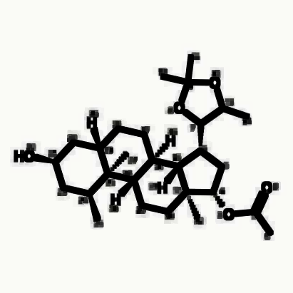 CC(=O)O[C@H]1C[C@@H](C2OC(C)(C)OC2C)[C@H]2[C@@H]3CC[C@H]4C[C@H](O)C[C@H](C)[C@]4(C)[C@H]3CC[C@@]21C